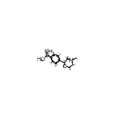 CN1CCOC(c2ccc(B(O)O)cc2)C1